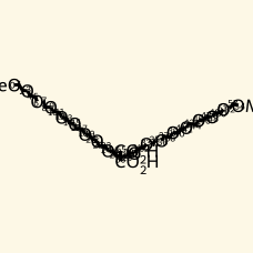 COCCOCCOCCOCCOCCOCCOCCOCCOCCC(CCOCCOCCOCCOCCOCCOCCOCCOCCOC)(C(=O)O)C(=O)O